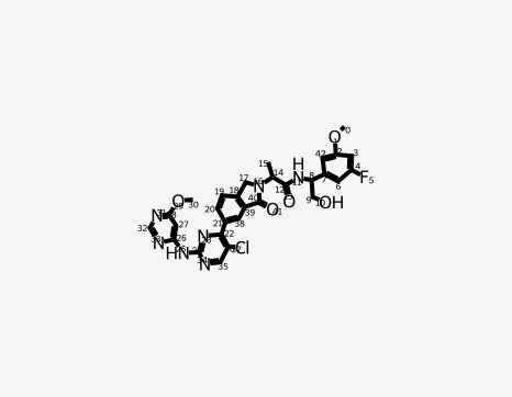 COc1cc(F)cc(C(CO)NC(=O)C(C)N2Cc3ccc(-c4nc(Nc5cc(OC)ncn5)ncc4Cl)cc3C2=O)c1